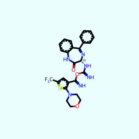 N=C(N[C@H]1N=C(c2ccccc2)c2ccccc2NC1=O)OC(=N)c1cc(C(F)(F)F)sc1N1CCOCC1